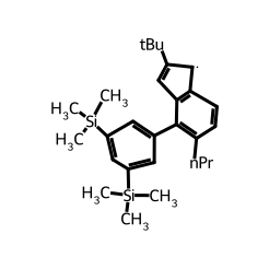 CCCc1ccc2c(c1-c1cc([Si](C)(C)C)cc([Si](C)(C)C)c1)C=C(C(C)(C)C)[CH]2